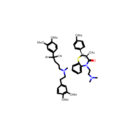 COc1ccc(CCN(C)CCCC(C#N)(c2ccc(OC)c(OC)c2)C(C)C)cc1OC.COc1ccc([C@@H]2Sc3ccccc3N(CCN(C)C)C(=O)[C@@H]2OC(C)=O)cc1